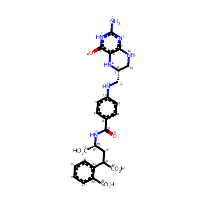 Nc1nc2c(c(=O)[nH]1)N[C@@H](CNc1ccc(C(=O)N[C@@H](CC(C(=O)O)c3ccccc3S(=O)(=O)O)C(=O)O)cc1)CN2